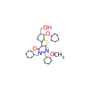 COc1ccccc1-c1nc2sc3c(Oc4ccccc4)c(CO)ccc3c2c(=O)n1Cc1ccccc1